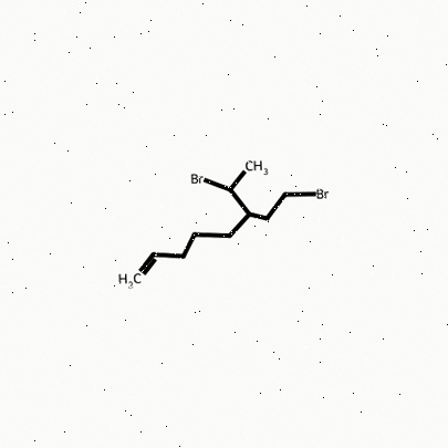 C=CCCCC(CCBr)C(C)Br